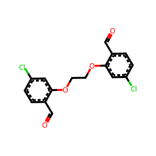 O=Cc1ccc(Cl)cc1OCCOc1cc(Cl)ccc1C=O